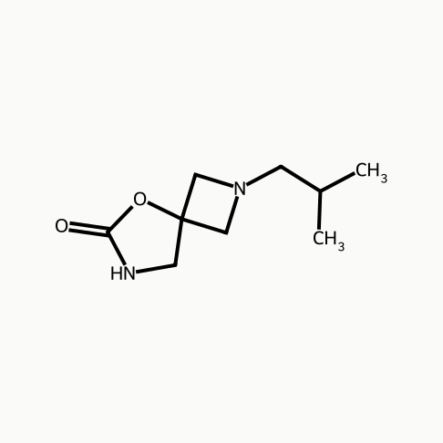 CC(C)CN1CC2(CNC(=O)O2)C1